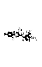 CC1=C(C(=O)Nc2cnc(N)c(C(F)(F)F)c2)C=NC(c2ccc(F)cc2Cl)N1